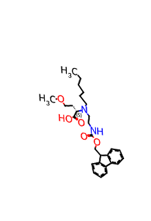 CCCCCCN(CCNC(=O)OCC1c2ccccc2-c2ccccc21)[C@@H](CCOC)C(=O)O